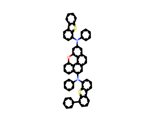 c1ccc(-c2cccc3c2sc2c(N(c4ccccc4)c4cc5ccc6cc(N(c7ccccc7)c7cccc8c7sc7ccccc78)cc7c6c5c5c(cccc45)O7)cccc23)cc1